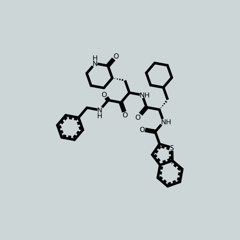 O=C(NCc1ccccc1)C(=O)C(C[C@@H]1CCCNC1=O)NC(=O)[C@H](CC1CCCCC1)NC(=O)c1cc2ccccc2s1